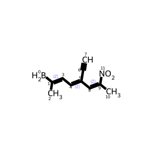 B/C(C)=C/C=C(C#C)/C=C(/C)[N+](=O)[O-]